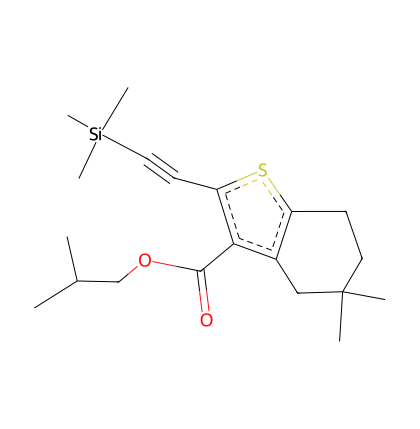 CC(C)COC(=O)c1c(C#C[Si](C)(C)C)sc2c1CC(C)(C)CC2